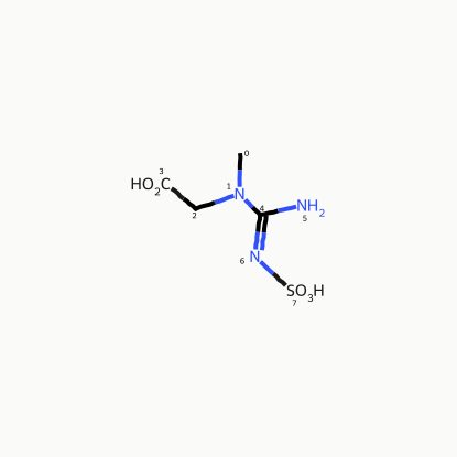 CN(CC(=O)O)/C(N)=N/S(=O)(=O)O